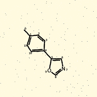 Cc1ccc(-c2cn[c]o2)cc1